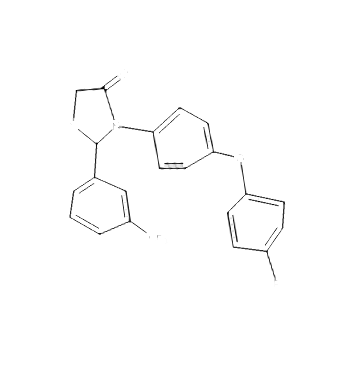 O=C1CSC(c2cccc(C(F)(F)F)c2)N1c1ccc(Oc2ccc(F)cc2)cc1